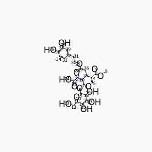 COC(=O)C1=COC(OC2OC(CO)C(O)C(O)C2O)/C(=C\C(=O)O)C1CC(=O)OCCc1ccc(O)c(O)c1